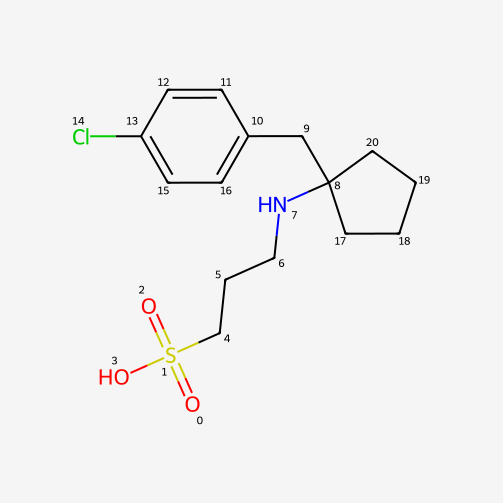 O=S(=O)(O)CCCNC1(Cc2ccc(Cl)cc2)CCCC1